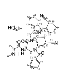 CNC(C)C(=O)NC1CN(C(=O)c2ccncc2)c2cc(C#N)ccc2N(Cc2nn(-c3ccccc3C#N)c3ccccc23)C1=O.Cl.Cl